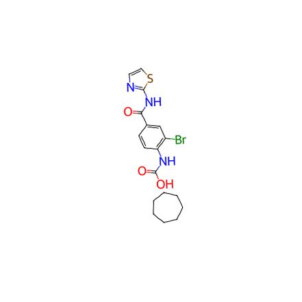 C1CCCCCC1.O=C(O)Nc1ccc(C(=O)Nc2nccs2)cc1Br